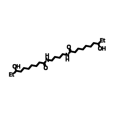 CCC(O)CCCCCCC(=O)NCCCCNC(=O)CCCCCCC(O)CC